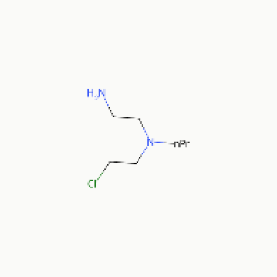 CCCN(CCN)CCCl